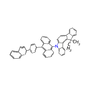 CC1(C)c2ccccc2-c2ccc3c(c21)c1ccccc1n3-c1c2ccccc2c(-c2ccc(-c3ccc4ccccc4c3)cc2)c2ccccc12